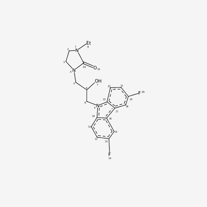 CCN1CCN(CC(O)Cn2c3ccc(F)cc3c3cc(F)ccc32)C1=O